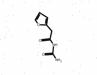 NC(=O)NC(=O)Cc1ccco1